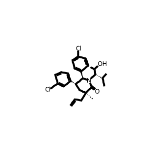 C=CC[C@@]1(C)C[C@H](c2cccc(Cl)c2)[C@@H](c2ccc(Cl)cc2)N([C@@H](C(C)C)C(C)O)C1=O